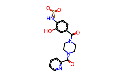 O=C(c1ccc(N[SH](=O)=O)c(O)c1)N1CCN(C(=O)c2ccccn2)CC1